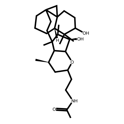 CC(=O)NCCC1C[C@@H](C)C2C(O1)[C@H](O)C(C)C2(C)CCC12CCC[C@H]3C(C)(C)C(O)CCC31C2